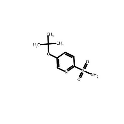 CC(C)(C)Oc1ccc(S(N)(=O)=O)nc1